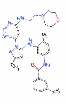 Cc1cccc(C(=O)Nc2ccc(C)c(Nc3cc(C)nn3-c3cc(NCCN4CCOCC4)ncn3)c2)c1